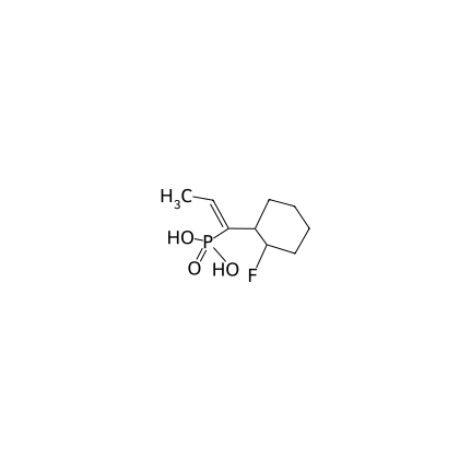 CC=C(C1CCCCC1F)P(=O)(O)O